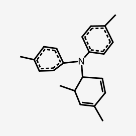 CC1=CC(C)C(N(c2ccc(C)cc2)c2ccc(C)cc2)C=C1